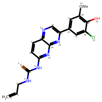 C=CCNC(=S)Nc1ccc2ncc(-c3cc(Cl)c(O)c(OC)c3)nc2n1